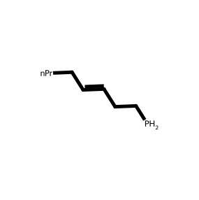 CCCCC=CCCP